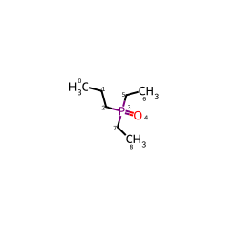 C[CH]CP(=O)(CC)CC